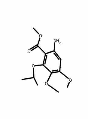 COC(=O)c1c(N)cc(OC)c(OC)c1OC(C)C